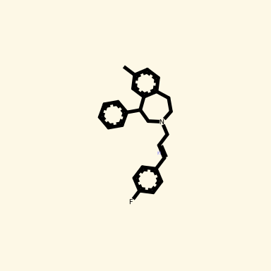 Cc1ccc2c(c1)C(c1ccccc1)CN(C/C=C/c1ccc(F)cc1)CC2